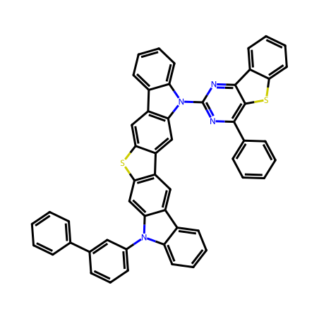 c1ccc(-c2cccc(-n3c4ccccc4c4cc5c(cc43)sc3cc4c6ccccc6n(-c6nc(-c7ccccc7)c7sc8ccccc8c7n6)c4cc35)c2)cc1